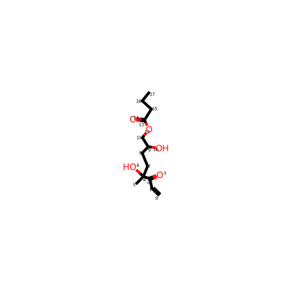 C=CC(=O)C(C)(O)CCC(O)COC(=O)CCC